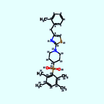 Cc1ccccc1Cc1csc(N2CCC(S(=O)(=O)c3c(C)c(C)cc(C)c3C)CC2)n1